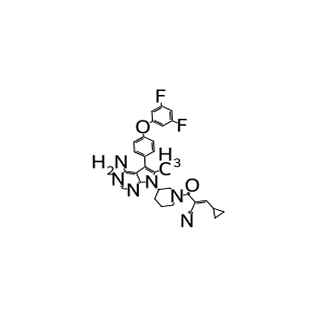 Cc1c(-c2ccc(Oc3cc(F)cc(F)c3)cc2)c2c(N)ncnc2n1[C@H]1CCCN(C(=O)/C(C#N)=C/C2CC2)C1